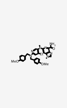 CCc1cc(N(Cc2ccc(OC)cc2)Cc2ccc(OC)cc2)ncc1N(C)c1cc2c(ncn2C)c(C(N)=O)n1